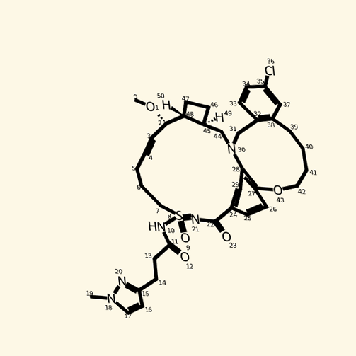 CO[C@H]1/C=C/CCCS(=O)(NC(=O)CCc2ccn(C)n2)=NC(=O)c2ccc3c(c2)N(Cc2ccc(Cl)cc2CCCCO3)C[C@@H]2CC[C@H]21